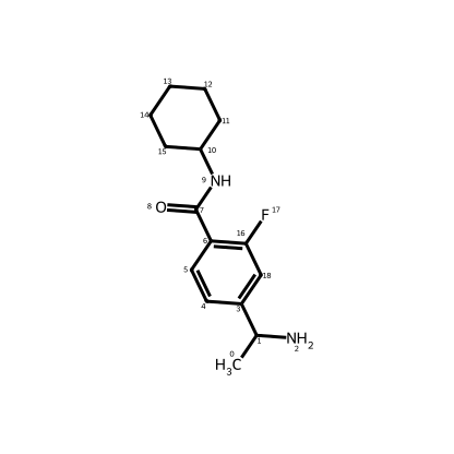 CC(N)c1ccc(C(=O)NC2CCCCC2)c(F)c1